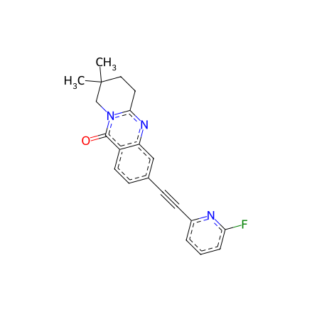 CC1(C)CCc2nc3cc(C#Cc4cccc(F)n4)ccc3c(=O)n2C1